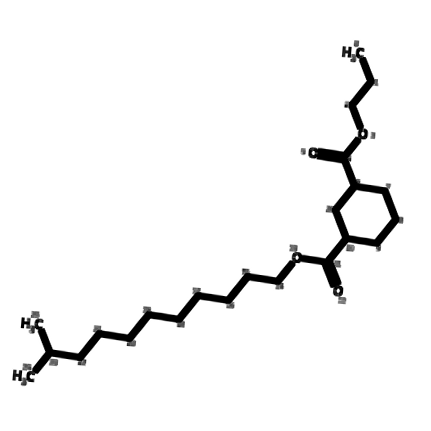 CCCOC(=O)C1CCCC(C(=O)OCCCCCCCCCC(C)C)C1